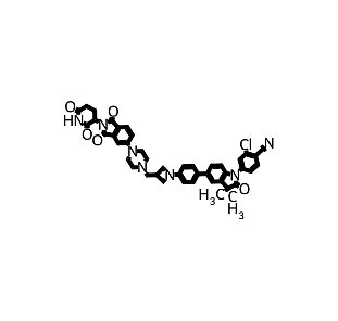 CC1(C)C(=O)N(c2ccc(C#N)c(Cl)c2)c2ccc(-c3ccc(N4CC(CN5CCN(c6ccc7c(c6)C(=O)N(C6CCC(=O)NC6=O)C7=O)CC5)C4)cc3)cc21